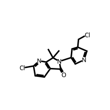 CC1(C)c2nc(Cl)ccc2C(=O)N1c1cncc(CCl)c1